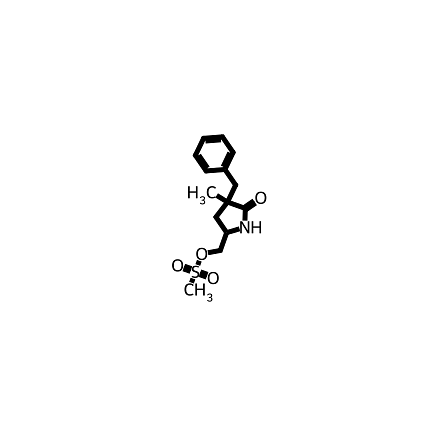 CC1(Cc2ccccc2)CC(COS(C)(=O)=O)NC1=O